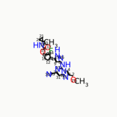 COCc1cn2c(Nc3cc([C@@H]4CC[C@H](OC(=O)NC5(C)CC5)[C@H]4F)[nH]n3)nc(C#N)cc2n1